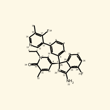 CCn1cc([C@]2(c3cccc(-c4cncc(C)c4F)c3)N=C(N)c3c(F)cccc32)cc(C)c1=O